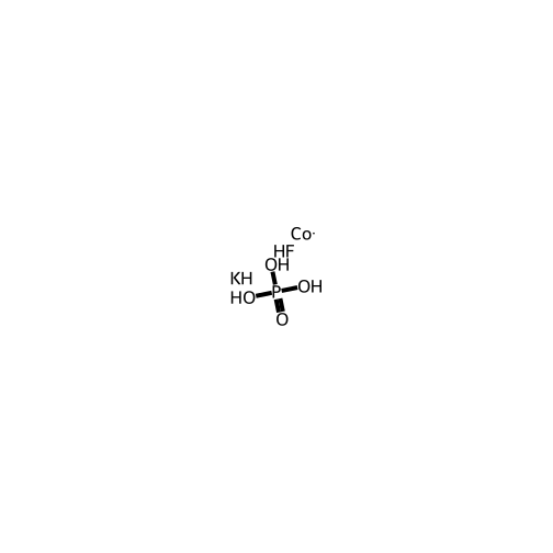 F.O=P(O)(O)O.[Co].[KH]